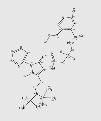 BC(B)(B)N(CCc1c(NC(=O)CC(C)(C)CNC(=O)c2cc(Cl)ccc2OCC)c(=O)n(-c2ccccc2)n1C)C(B)(B)B